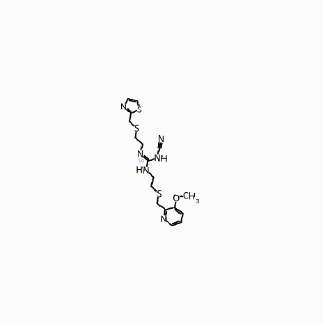 COc1cccnc1CSCCN/C(=N/CCSCc1nccs1)NC#N